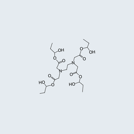 CCC(O)OC(=O)CN(CCN(CC(=O)OC(O)CC)CC(=O)OC(O)CC)CC(=O)OC(O)CC